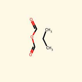 CCC.O=COC=O